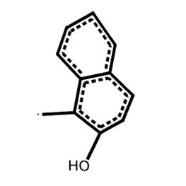 [CH2]c1c(O)ccc2ccccc12